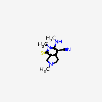 CNc1c(C#N)c2c(c(=S)n1C)CN(C)CC2